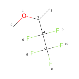 COC(C)C(F)(F)C(F)(F)F